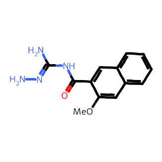 COc1cc2ccccc2cc1C(=O)NC(N)=NN